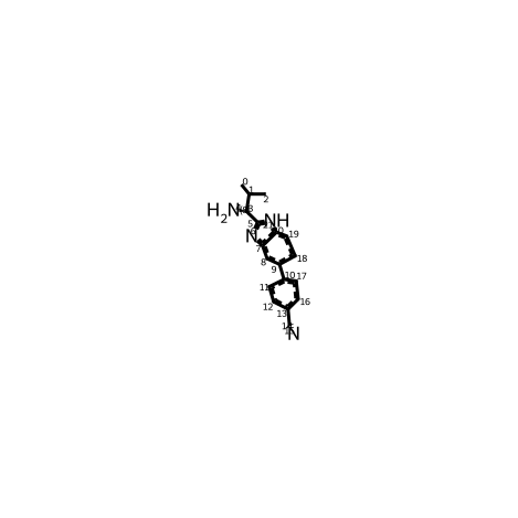 CC(C)[C@H](N)c1nc2cc(-c3ccc(C#N)cc3)ccc2[nH]1